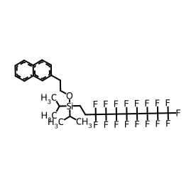 CC(C)[Si](CCC(F)(F)C(F)(F)C(F)(F)C(F)(F)C(F)(F)C(F)(F)C(F)(F)C(F)(F)F)(OCCc1ccc2ccccc2c1)C(C)C